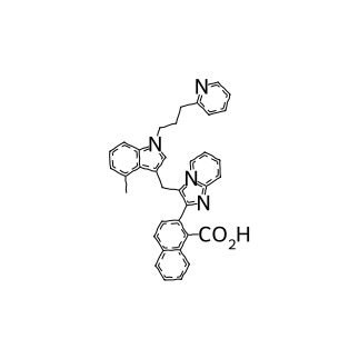 Cc1cccc2c1c(Cc1c(-c3ccc4ccccc4c3C(=O)O)nc3ccccn13)cn2CCCc1ccccn1